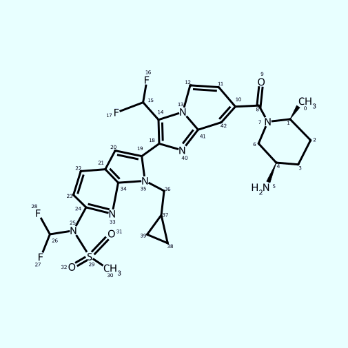 C[C@H]1CC[C@@H](N)CN1C(=O)c1ccn2c(C(F)F)c(-c3cc4ccc(N(C(F)F)S(C)(=O)=O)nc4n3CC3CC3)nc2c1